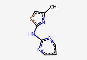 Cc1csc(Nc2ncccn2)n1